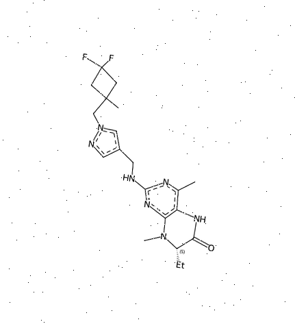 CC[C@H]1C(=O)Nc2c(C)nc(NCc3cnn(CC4(C)CC(F)(F)C4)c3)nc2N1C